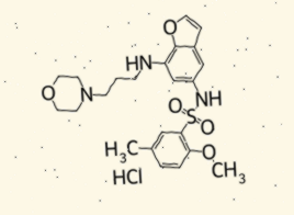 COc1ccc(C)cc1S(=O)(=O)Nc1cc(NCCCN2CCOCC2)c2occc2c1.Cl